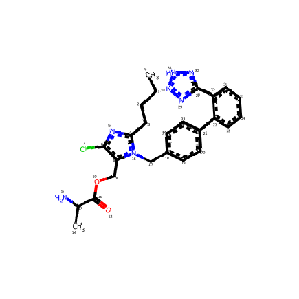 CCCCc1nc(Cl)c(COC(=O)C(C)N)n1Cc1ccc(-c2ccccc2-c2nn[nH]n2)cc1